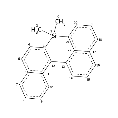 C[Si]1(C)c2ccc3ccccc3c2-c2cccc3cccc1c23